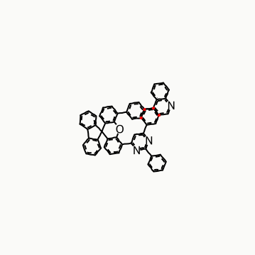 c1ccc(-c2cc(-c3cccc4c3Oc3c(-c5ccc(-c6ccnc7ccccc67)cc5)cccc3C43c4ccccc4-c4ccccc43)nc(-c3ccccc3)n2)cc1